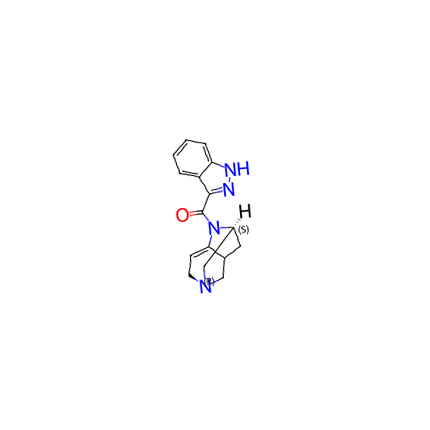 O=C(c1n[nH]c2ccccc12)N1C2=CC[N@]3CC2C[C@H]1C3